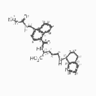 CC(C)(C)OC(=O)NCc1ccc(C(=O)N[C@@H](CCCNC2CCCc3cccnc32)C(=O)O)c2ccccc12